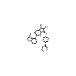 C=NN(/C=C\C)c1ccc(Cn2c(=O)[nH]c3cnc(-c4cccc5ccn(C)c45)nc32)cc1